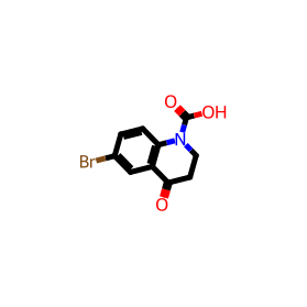 O=C1CCN(C(=O)O)c2ccc(Br)cc21